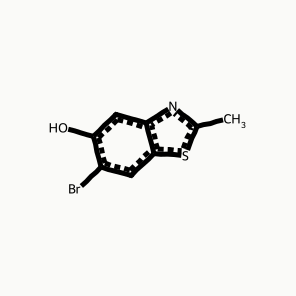 Cc1nc2cc(O)c(Br)cc2s1